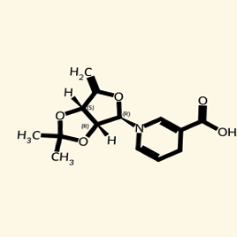 C=C1O[C@@H](N2C=CCC(C(=O)O)=C2)[C@@H]2OC(C)(C)O[C@H]12